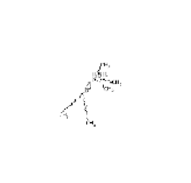 CCCCCCCCCCCCN(CCCCCCCCCCCC)CCN1CCN(CCNC(CCCCCC)(CCCCCC)C(N)CCCCCC)CC1